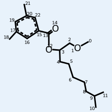 COCC(CCCCCC(C)C)OC(=O)c1cc(C)cc(C)c1